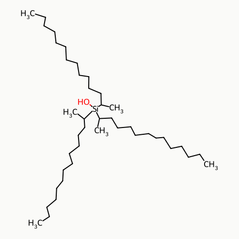 CCCCCCCCCCCCC(C)[Si](O)(C(C)CCCCCCCCCCCC)C(C)CCCCCCCCCCCC